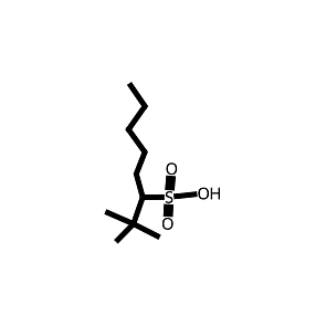 CCCCCC(C(C)(C)C)S(=O)(=O)O